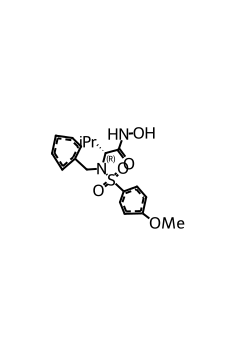 COc1ccc(S(=O)(=O)N(Cc2ccccc2)[C@@H](C(=O)NO)C(C)C)cc1